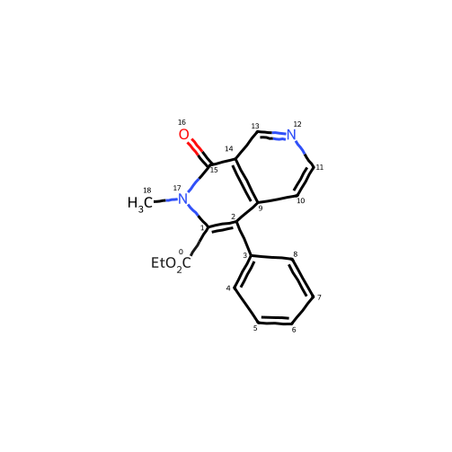 CCOC(=O)c1c(-c2ccccc2)c2ccncc2c(=O)n1C